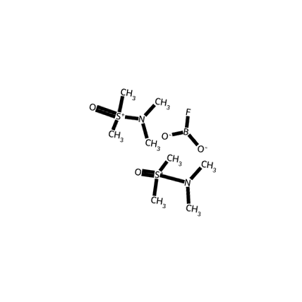 CN(C)[S+](C)(C)=O.CN(C)[S+](C)(C)=O.[O-]B([O-])F